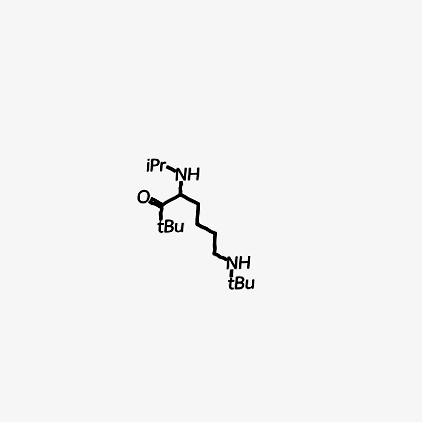 CC(C)NC(CCCCNC(C)(C)C)C(=O)C(C)(C)C